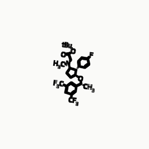 C[C@@H](O[C@H]1CC[C@@H](N(C)CC(=O)OC(C)(C)C)[C@@H]1c1ccc(F)cc1)c1cc(C(F)(F)F)cc(C(F)(F)F)c1